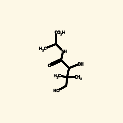 CC(NC(=O)C(O)C(C)(C)CO)C(=O)O